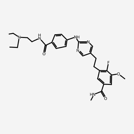 CCN(CC)CCNC(=O)c1ccc(Nc2ncc(CCc3cc(C(=O)NC)cc(OC)c3F)cn2)cc1